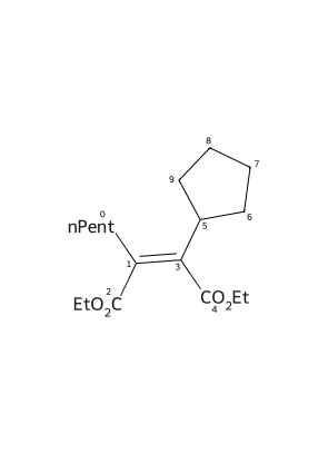 CCCCC/C(C(=O)OCC)=C(/C(=O)OCC)C1CCCC1